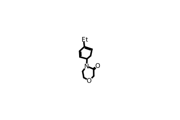 CCC1=CCC(N2CCOCC2=O)C=C1